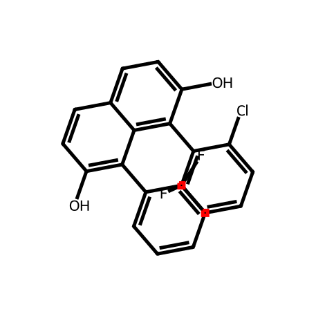 Oc1ccc2ccc(O)c(-c3c(F)cccc3Cl)c2c1-c1ccccc1F